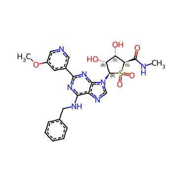 CNC(=O)[C@@H]1[C@@H](O)[C@@H](O)[C@H](n2cnc3c(NCc4ccccc4)nc(-c4cncc(OC)c4)nc32)S1(=O)=O